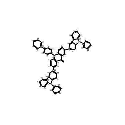 C=C1c2cc(-c3ccc4c(c3)c3ccccc3n4-c3ccccc3)ccc2N(c2ccc(-c3ccccc3)cc2)c2ccc(-c3ccc4c(c3)c3ccccc3n4-c3ccccc3)cc21